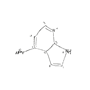 CC(C)C1=CC=NC2NC=CC12